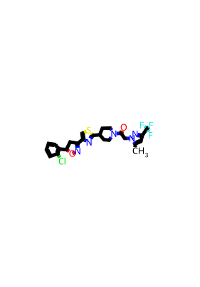 Cc1cc(C(F)(F)F)nn1CC(=O)N1CCC(c2nc(C3=NOC(c4[c]cccc4Cl)C3)cs2)CC1